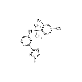 CC(C)(Nc1cccc(-c2nc[nH]n2)c1)c1ccc(C#N)cc1Br